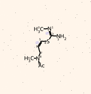 C/N=C(/N)S/C=C\CN(C)C(C)=O